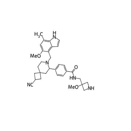 COc1cc(C)c2[nH]ccc2c1CN1CCC2(CC(C#N)C2)CC1c1ccc(C(=O)NCC2(OC)CNC2)cc1